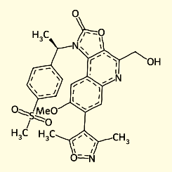 COc1cc2c(cc1-c1c(C)noc1C)nc(CO)c1oc(=O)n([C@H](C)c3ccc(S(C)(=O)=O)cc3)c12